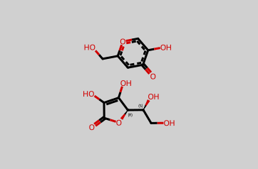 O=C1O[C@H]([C@@H](O)CO)C(O)=C1O.O=c1cc(CO)occ1O